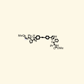 COO/C=N\[C@H](C(=O)N1CCC[C@H]1c1nc2cc(C#Cc3ccc(-c4c[nH]c([C@@H]5CCCN5C(=O)[C@H](NC(=O)OC)C(C)C)n4)cc3)ccc2[nH]1)C(C)C